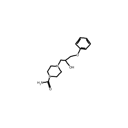 NC(=O)N1CCN(CC(O)COc2ccccc2)CC1